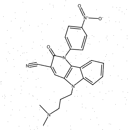 CN(C)CCCn1c2ccccc2c2c1cc(C#N)c(=O)n2-c1ccc([N+](=O)[O-])cc1